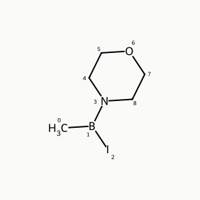 CB(I)N1CCOCC1